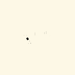 [O]=[W].[SrH2].[Ti]